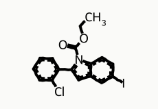 CCOC(=O)n1c(-c2ccccc2Cl)cc2cc(I)ccc21